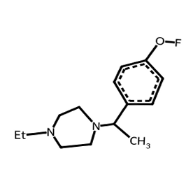 CCN1CCN(C(C)c2ccc(OF)cc2)CC1